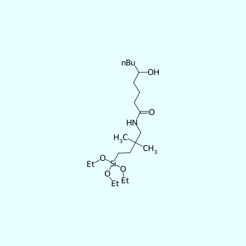 CCCCC(O)CCCC(=O)NCC(C)(C)CC[Si](OCC)(OCC)OCC